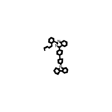 C/C=C\C=C/c1ccccc1-c1nc(-c2ccc(-c3ccc(-n4c5ccccc5c5ccccc54)cc3)cc2)c2ccccc2n1